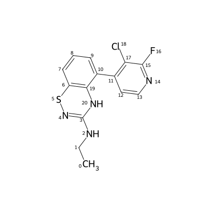 CCNC1=NSc2cccc(-c3ccnc(F)c3Cl)c2N1